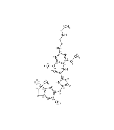 CCNCCNc1nc(OC)c(NC(=O)c2coc(Oc3cc4c(cc3C)CCC4(C)C)n2)c(OC)n1